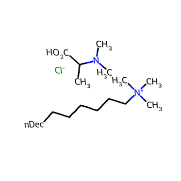 CC(C(=O)O)N(C)C.CCCCCCCCCCCCCCCC[N+](C)(C)C.[Cl-]